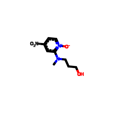 CN(CCCO)c1cc([N+](=O)[O-])cc[n+]1[O-]